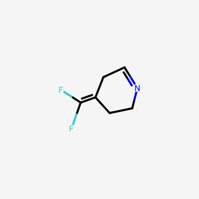 FC(F)=C1CC=NCC1